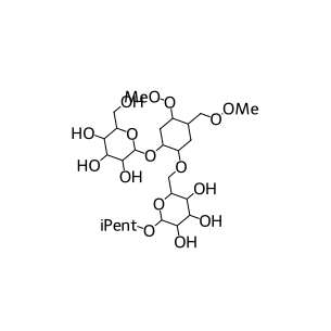 CCCC(C)OC1OC(COC2CC(COOC)C(OOC)CC2OC2OC(CO)C(O)C(O)C2O)C(O)C(O)C1O